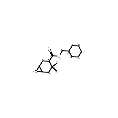 CC1(C)CC2OC2CC1C(=O)OCC1CCCCC1